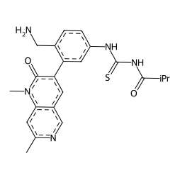 Cc1cc2c(cn1)cc(-c1cc(NC(=S)NC(=O)C(C)C)ccc1CN)c(=O)n2C